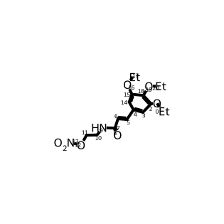 CCOc1cc(C=CC(=O)NCCO[N+](=O)[O-])cc(OCC)c1OCC